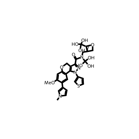 COc1cc2c(cc1-c1ccn(C)c1)-c1c(c(C(=O)N(CC3(OC(O)(O)O)COC3)C(O)(O)O)nn1-c1ccsc1)CO2